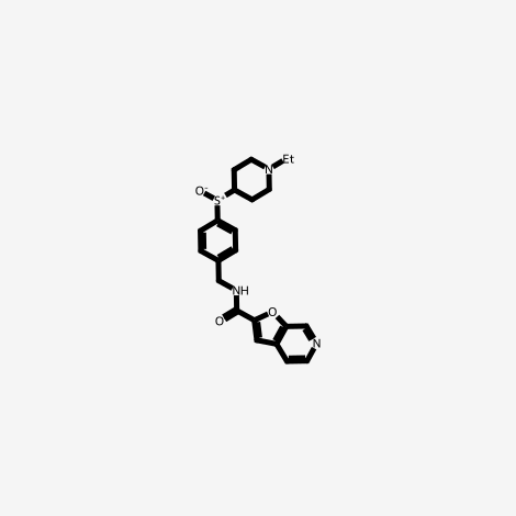 CCN1CCC([S+]([O-])c2ccc(CNC(=O)c3cc4ccncc4o3)cc2)CC1